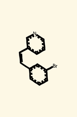 Brc1cccc(/C=C\c2cccnc2)c1